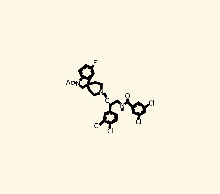 CC(=O)N1CC2(CCN(CC[C@H](CN(C)C(=O)c3cc(Cl)cc(Cl)c3)c3ccc(Cl)c(Cl)c3)CC2)c2cc(F)ccc21